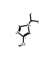 COc1cn(C(C)C)cn1